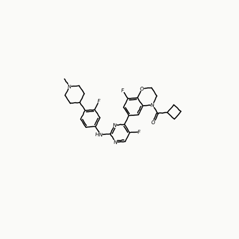 CN1CCC(c2ccc(Nc3ncc(F)c(-c4cc(F)c5c(c4)N(C(=O)C4CCC4)CCO5)n3)cc2F)CC1